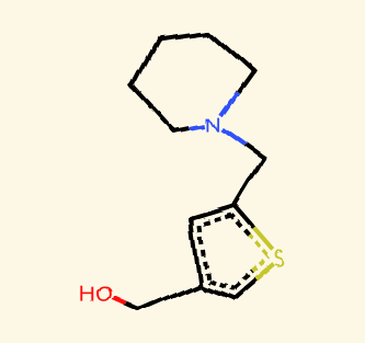 OCc1csc(CN2CCCCC2)c1